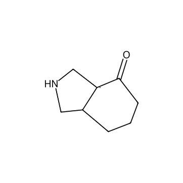 O=C1CCCC2CNC[C]12